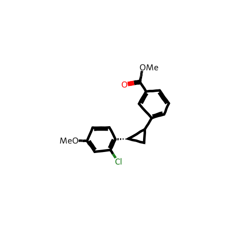 COC(=O)c1cccc(C2C[C@@H]2c2ccc(OC)cc2Cl)c1